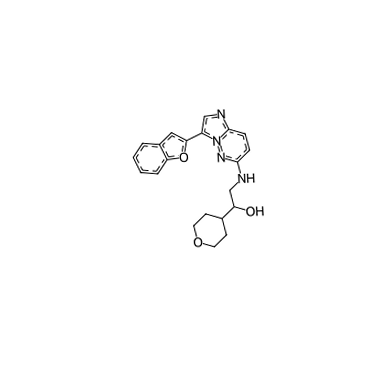 OC(CNc1ccc2ncc(-c3cc4ccccc4o3)n2n1)C1CCOCC1